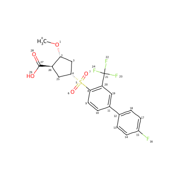 CO[C@@H]1C[C@H](S(=O)(=O)c2ccc(-c3ccc(F)cc3)cc2C(F)(F)F)C[C@H]1C(=O)O